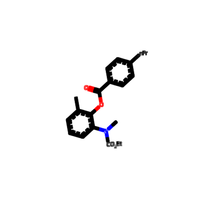 CCCc1ccc(C(=O)Oc2c(C)cccc2N(C)C(=O)OCC)cc1